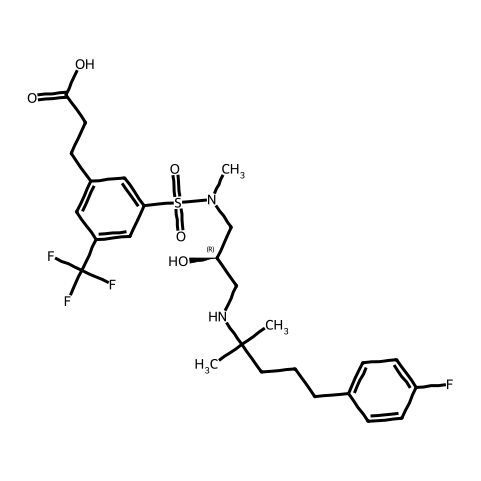 CN(C[C@H](O)CNC(C)(C)CCCc1ccc(F)cc1)S(=O)(=O)c1cc(CCC(=O)O)cc(C(F)(F)F)c1